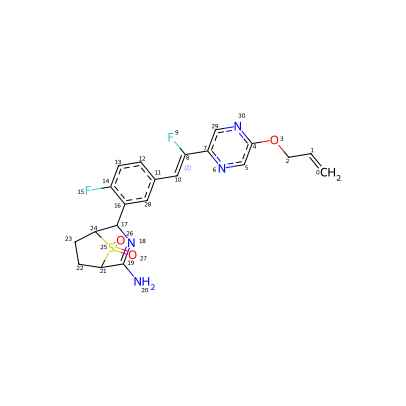 C=CCOc1cnc(/C(F)=C/c2ccc(F)c(C3N=C(N)C4CCC3S4(=O)=O)c2)cn1